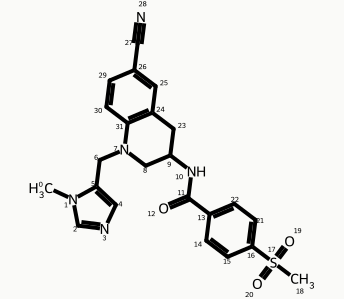 Cn1cncc1CN1CC(NC(=O)c2ccc(S(C)(=O)=O)cc2)Cc2cc(C#N)ccc21